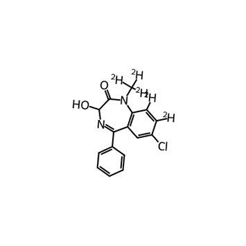 [2H]c1c(Cl)cc2c(c1[2H])N(C([2H])([2H])[2H])C(=O)C(O)N=C2c1ccccc1